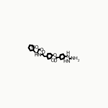 N=C(N)Nc1ccc(C(=O)Oc2ccc(CC(=O)N[C@@H](Cc3ccccc3)C(=O)O)cc2Cl)cc1